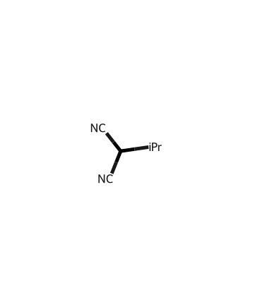 [CH2]C(C)C(C#N)C#N